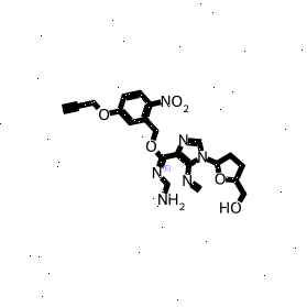 C#CCOc1ccc([N+](=O)[O-])c(CO/C(=N/CN)c2ncn(C3CCC(CO)O3)c2N=C)c1